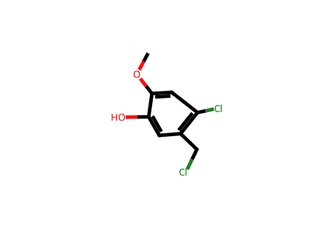 COc1cc(Cl)c(CCl)cc1O